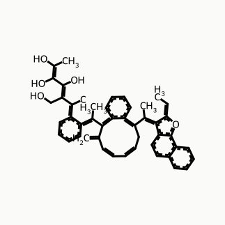 C=C1/C=C\C=C/CC(/C(C)=c2/c(=C\C)oc3c2ccc2ccccc23)=c2/cccc/c2=C1\C(C)=c1/cccc/c1=C(C)\C(CO)=C(O)\C(O)=C(/C)O